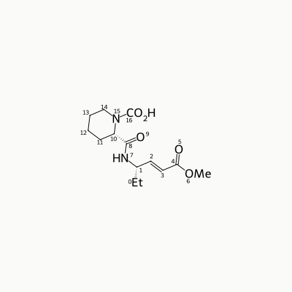 CC[C@@H](C=CC(=O)OC)NC(=O)[C@@H]1CCCCN1C(=O)O